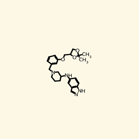 CC1(C)OCC(COc2cccc(CN3CCCC(Nc4ccc5[nH]ncc5c4)C3)c2)O1